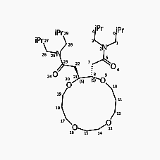 CC(C)CN(CC(C)C)C(=O)C[C@@H]1OCCCOCCOCCCO[C@H]1CC(=O)N(CC(C)C)CC(C)C